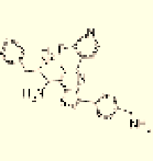 NCc1ccc(-c2csc3c(C(N)C(N)Cc4ccccc4)nc(-c4ccncc4F)nc23)cc1